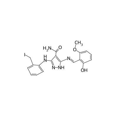 COc1cccc(O)c1/C=N/c1[nH]nc(Nc2ccccc2CI)c1C(N)=O